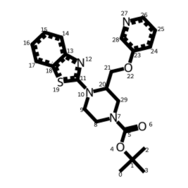 CC(C)(C)OC(=O)N1CCN(c2nc3ccccc3s2)C(COc2cccnc2)C1